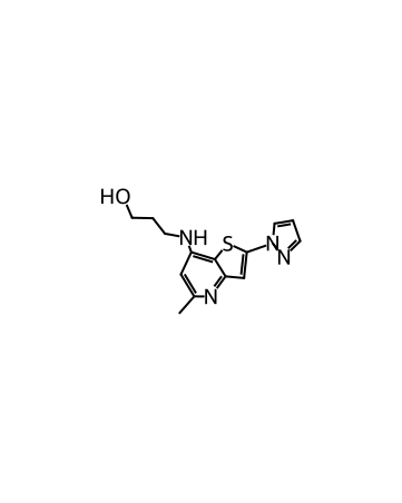 Cc1cc(NCCCO)c2sc(-n3cccn3)cc2n1